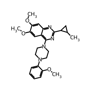 COc1cc2nc(C3CC3C)nc(N3CCN(c4ccccc4OC)CC3)c2cc1OC